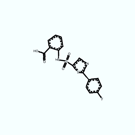 O=C(O)c1ccccc1NS(=O)(=O)c1cnc(-c2ccc(F)cc2)s1